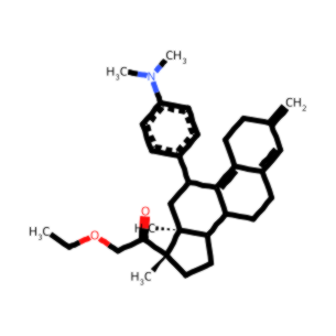 C=C1C=C2CCC3C(=C2CC1)C(c1ccc(N(C)C)cc1)C[C@@]1(C)C3CC[C@]1(C)C(=O)COCC